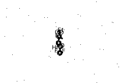 CCS(=O)(=O)c1cc(C)c(-c2ccc3c(c2)OCC(c2c(F)cccc2F)N3)cn1